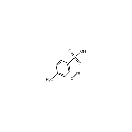 Cc1ccc(S(=O)(=O)O)cc1.N=O